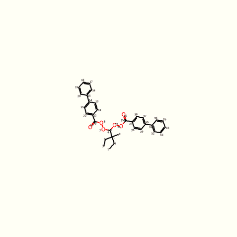 [CH2]C(CC)(CC)[C](OOC(=O)c1ccc(-c2ccccc2)cc1)OOC(=O)c1ccc(-c2ccccc2)cc1